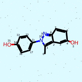 Cc1c2cc(O)ccc2nn1-c1ccc(O)cc1